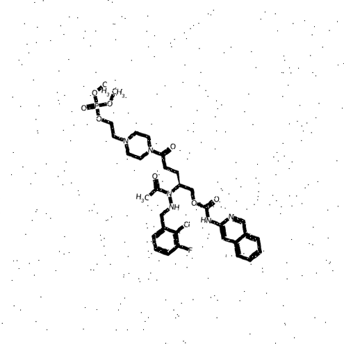 COP(=O)(OC)OCCN1CCN(C(=O)CC[C@@H](COC(=O)Nc2cc3ccccc3cn2)N(NCc2cccc(F)c2Cl)C(C)=O)CC1